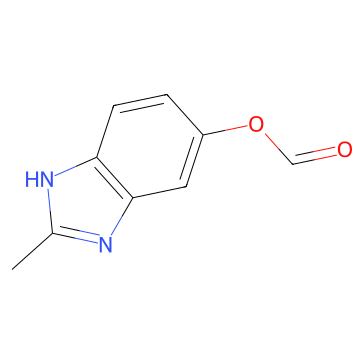 Cc1nc2cc(OC=O)ccc2[nH]1